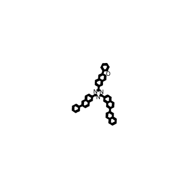 c1ccc(-c2ccc3cc(-c4nc(-c5ccc6ccc(-c7ccc8ccccc8c7)cc6c5)nc(-c5ccc6cc7c(cc6c5)oc5ccccc57)n4)ccc3c2)cc1